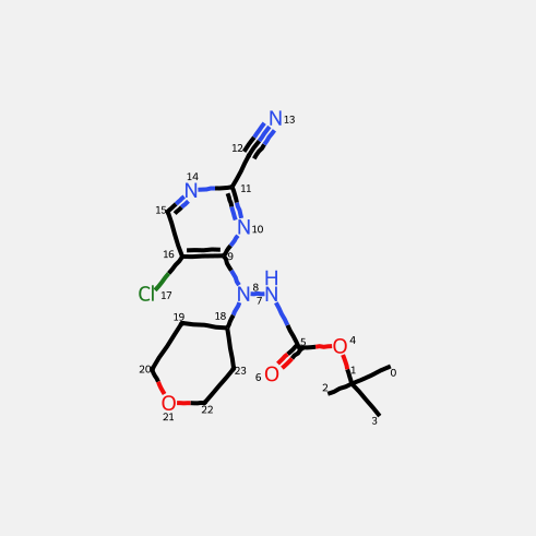 CC(C)(C)OC(=O)NN(c1nc(C#N)ncc1Cl)C1CCOCC1